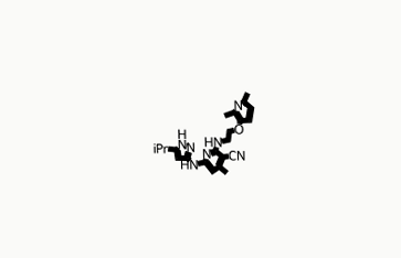 Cc1ccc(OCCNc2nc(Nc3cc(C(C)C)[nH]n3)cc(C)c2C#N)c(C)n1